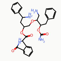 NCC(OCC(CC(N)c1ccccc1)OC(=O)C1NC(=O)c2ccccc21)C(Cc1ccccc1)OC(N)=O